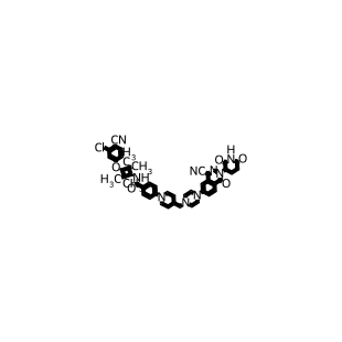 CC1(C)[C@H](NC(=O)c2ccc(N3CCC(CN4CCN(c5ccc6c(=O)n(C7CCC(=O)NC7=O)nc(C#N)c6c5)CC4)CC3)cc2)C(C)(C)[C@H]1Oc1ccc(C#N)c(Cl)c1